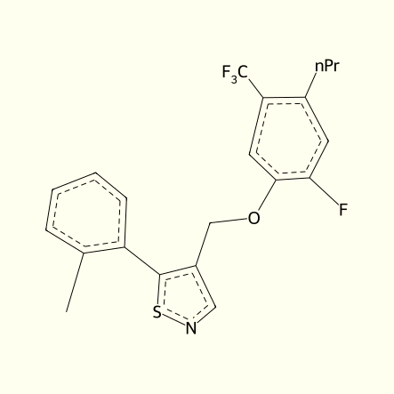 CCCc1cc(F)c(OCc2cnsc2-c2ccccc2C)cc1C(F)(F)F